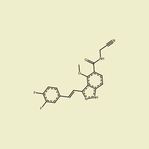 COc1c(C(=O)NCC#N)ccc2[nH]nc(C=Cc3ccc(F)c(F)c3)c12